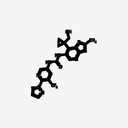 Cc1nc2c(C3(CO)CC3)c(NC(=O)Nc3cnc(-n4nccn4)c(C(F)(F)F)c3)cnc2s1